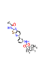 CC(C)(C)OC(=O)Nc1cccc(-c2ccc3nc(NC(=O)C4CC4)sc3n2)c1